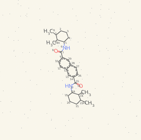 CC1CCCC(NC(=O)c2ccc3cc(C(=O)NC4CCCC(C)C4C)ccc3c2)C1C